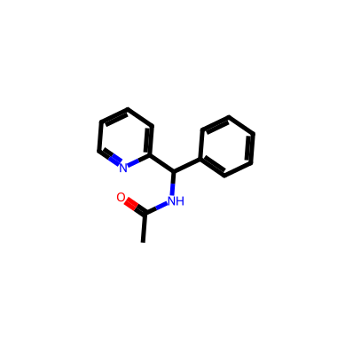 CC(=O)NC(c1ccccc1)c1ccccn1